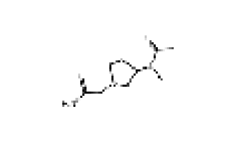 CC(=O)N(C)C1CCN(CC(N)=O)C1